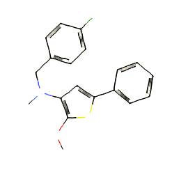 CC(=O)N(Cc1ccc(Cl)cc1)c1cc(-c2ccccc2)sc1OC(=O)O